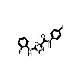 O=C(Nc1ccc(I)cc1)c1nnc(Nc2ccccc2F)o1